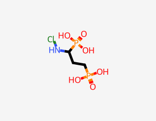 O=P(O)(O)CCC(NCl)P(=O)(O)O